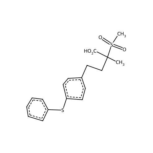 CC(CCc1ccc(Sc2ccccc2)cc1)(C(=O)O)S(C)(=O)=O